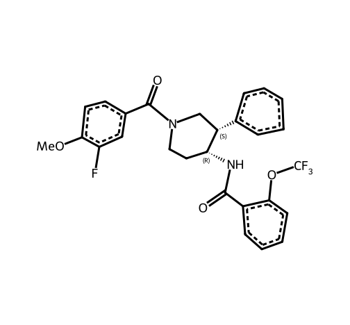 COc1ccc(C(=O)N2CC[C@@H](NC(=O)c3ccccc3OC(F)(F)F)[C@@H](c3ccccc3)C2)cc1F